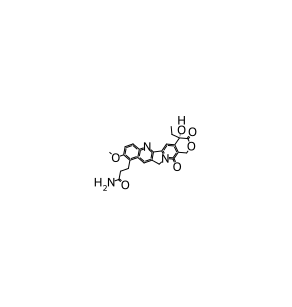 CC[C@@]1(O)C(=O)OCc2c1cc1n(c2=O)Cc2cc3c(CCC(N)=O)c(OC)ccc3nc2-1